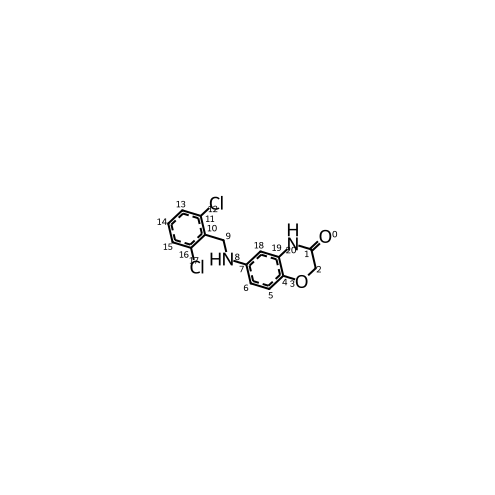 O=C1COc2ccc(NCc3c(Cl)cccc3Cl)cc2N1